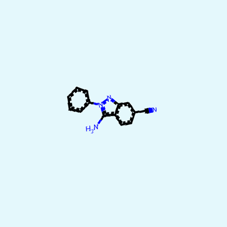 N#Cc1ccc2c(N)n(-c3ccccc3)nc2c1